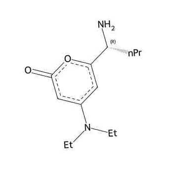 CCC[C@@H](N)c1cc(N(CC)CC)cc(=O)o1